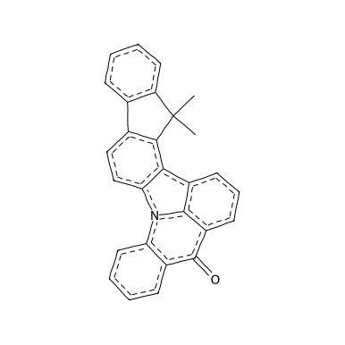 CC1(C)c2ccccc2-c2ccc3c(c21)c1cccc2c(=O)c4ccccc4n3c21